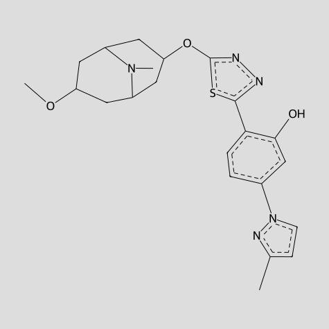 COC1CC2CC(Oc3nnc(-c4ccc(-n5ccc(C)n5)cc4O)s3)CC(C1)N2C